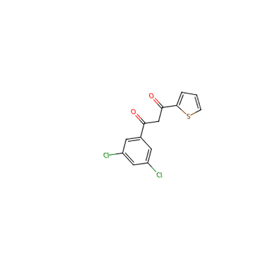 O=C(CC(=O)c1cccs1)c1cc(Cl)cc(Cl)c1